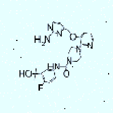 CC(C)(O)c1cc(NC(=O)N2CCN(c3ncccc3OCc3ccnc(N)n3)CC2)ccc1F